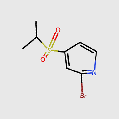 CC(C)S(=O)(=O)c1ccnc(Br)c1